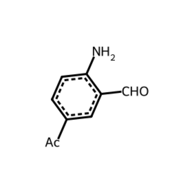 CC(=O)c1ccc(N)c(C=O)c1